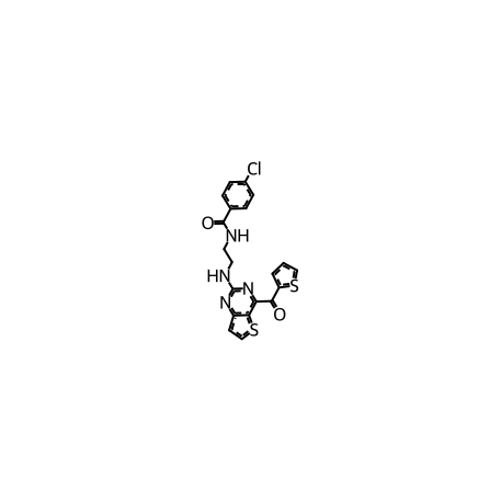 O=C(NCCNc1nc(C(=O)c2cccs2)c2sccc2n1)c1ccc(Cl)cc1